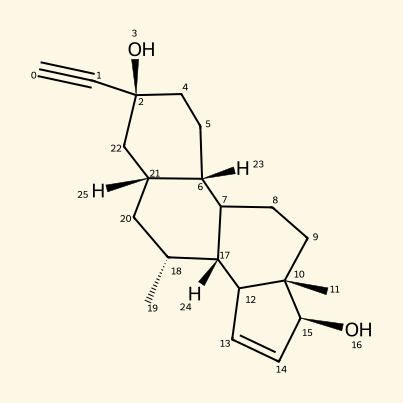 C#C[C@]1(O)CC[C@@H]2C3CC[C@@]4(C)C(C=C[C@@H]4O)[C@@H]3[C@H](C)C[C@@H]2C1